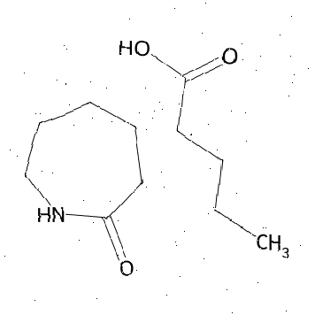 CCCCC(=O)O.O=C1CCCCCN1